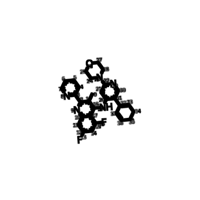 Cc1c(-c2ccccn2)nc2cc(F)cc(F)c2c1Nc1cc(N2CCOCC2)ncc1C1=CC[CH]C=C1